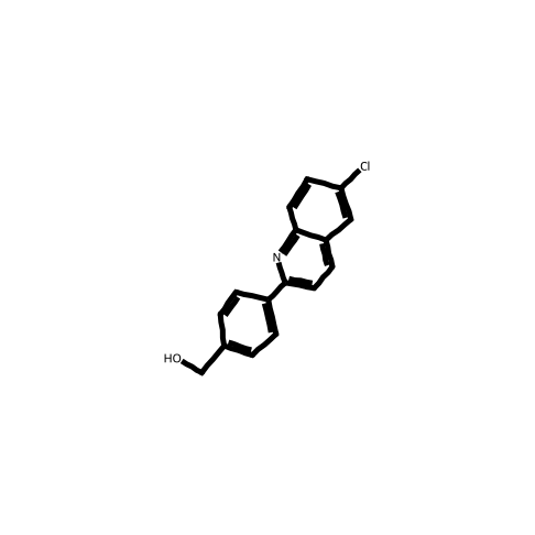 OCc1ccc(-c2ccc3cc(Cl)ccc3n2)cc1